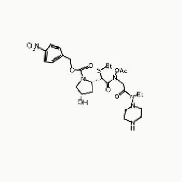 CCSC(C(=O)N(CC(=O)N(CC)N1CCNCC1)OC(C)=O)[C@@H]1C[C@H](O)CN1C(=O)OCc1ccc([N+](=O)[O-])cc1